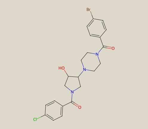 O=C(c1ccc(Br)cc1)N1CCN(C2CN(C(=O)c3ccc(Cl)cc3)CC2O)CC1